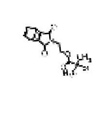 CC(C)(Br)C(=O)OCCN1C(=O)C2C3C=CC(O3)C2C1=O